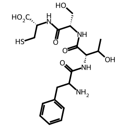 CC(O)[C@H](NC(=O)C(N)Cc1ccccc1)C(=O)N[C@@H](CO)C(=O)N[C@H](CS)C(=O)O